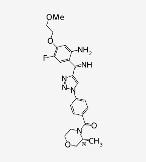 COCCOc1cc(N)c(C(=N)c2cn(-c3ccc(C(=O)N4CCOC[C@@H]4C)cc3)nn2)cc1F